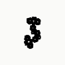 CC1(C)c2ccccc2N(c2ccc3oc4c(ccc5oc6ccc(N7c8ccccc8C(C)(C)c8ccccc87)cc6c54)c3c2)c2ccccc21